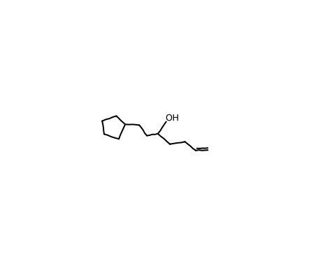 C=CCCC(O)CCC1CCCC1